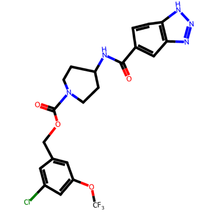 O=C(NC1CCN(C(=O)OCc2cc(Cl)cc(OC(F)(F)F)c2)CC1)c1ccc2[nH]nnc2c1